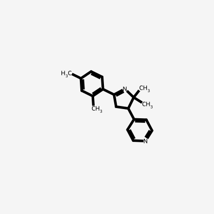 Cc1ccc(C2=NC(C)(C)C(c3ccncc3)C2)c(C)c1